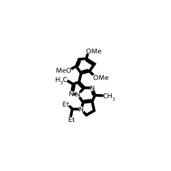 CCC(CC)N1CCc2c(C)nc3c(-c4c(OC)cc(OC)cc4OC)c(C)nn3c21